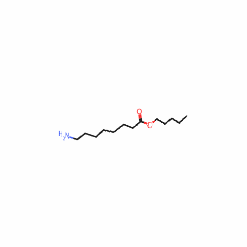 CCCCCOC(=O)CCCCCCCN